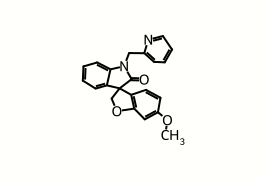 COc1ccc2c(c1)OCC21C(=O)N(Cc2ccccn2)c2ccccc21